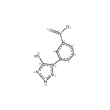 O=[N+]([O-])c1cccc(-n2nnnc2S)c1